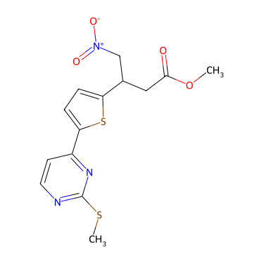 COC(=O)CC(C[N+](=O)[O-])c1ccc(-c2ccnc(SC)n2)s1